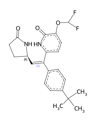 CC(C)(C)c1ccc(/C(=C/[C@H]2CCC(=O)N2)c2ccc(OC(F)F)c(=O)[nH]2)cc1